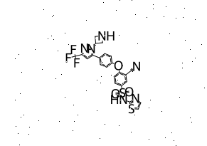 N#Cc1cc(S(=O)(=O)Nc2nccs2)ccc1Oc1ccc(-c2cc(C(F)(F)F)nn2C2CNC2)cc1